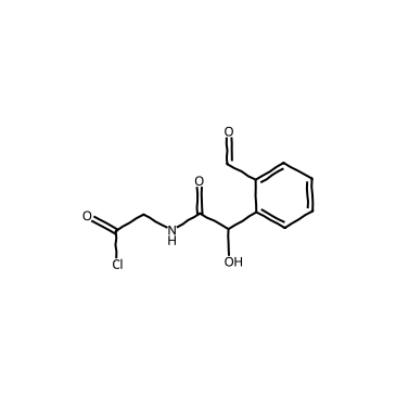 O=Cc1ccccc1C(O)C(=O)NCC(=O)Cl